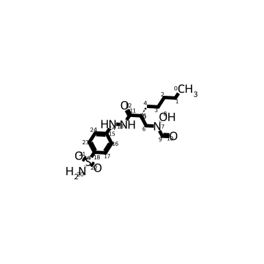 CCCCC[C@H](CN(O)C=O)C(=O)NNc1ccc(S(N)(=O)=O)cc1